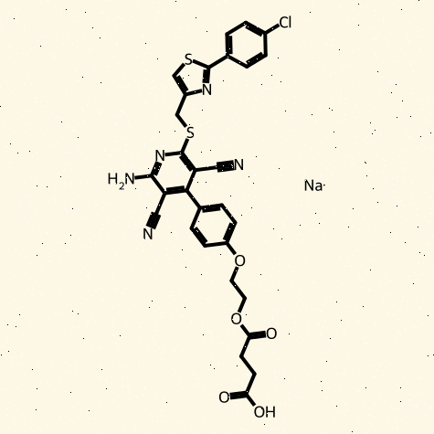 N#Cc1c(N)nc(SCc2csc(-c3ccc(Cl)cc3)n2)c(C#N)c1-c1ccc(OCCOC(=O)CCC(=O)O)cc1.[Na]